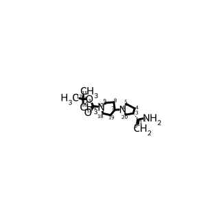 C=C(N)[C@H]1CCN(C2CCN(C(=O)OC(C)(C)C)CC2)C1